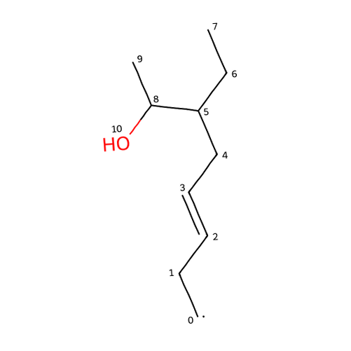 [CH2]CC=CCC(CC)C(C)O